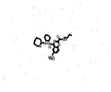 CCCCNC(=O)c1nc(N[C@H]2CCCC[C@H]2NC2=NCCCCC2)c2cc(C)ccc2n1.Cl.Cl